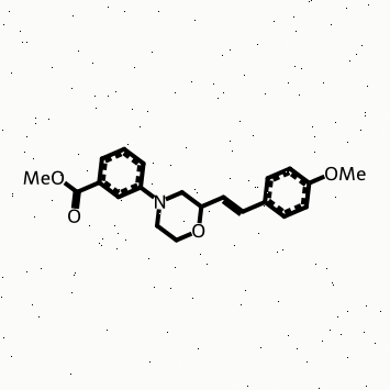 COC(=O)c1cccc(N2CCOC(/C=C/c3ccc(OC)cc3)C2)c1